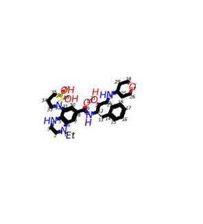 CCN1CCNc2c1cc(C(=O)N[C@@H](Cc1ccccc1)[C@H](O)CNC1CCOCC1)cc2N1CCCS1(O)O